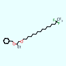 CCC(COCCCCCCCCCCCCCCC(F)(F)C(F)(F)F)OCc1ccccc1